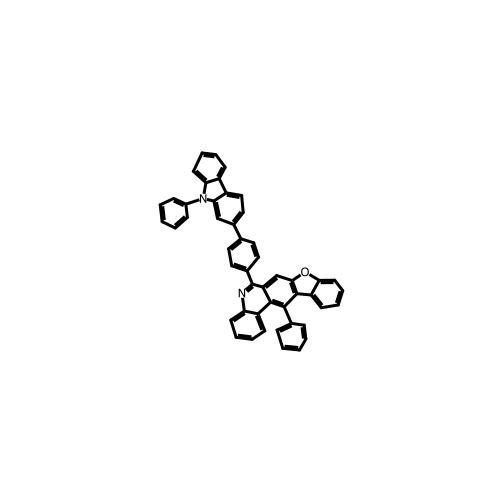 c1ccc(-c2c3c(cc4c(-c5ccc(-c6ccc7c8ccccc8n(-c8ccccc8)c7c6)cc5)nc5ccccc5c24)oc2ccccc23)cc1